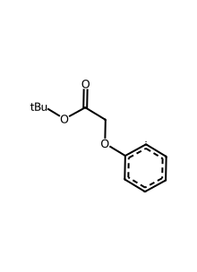 CC(C)(C)OC(=O)COc1[c]cccc1